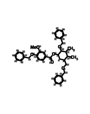 COc1cc(C(=O)OC2CC(COCc3ccccc3)C(C)C(C)C2OCc2ccccc2)ccc1OCc1ccccc1